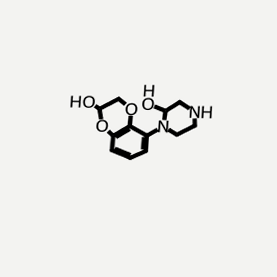 OC1COc2c(cccc2N2CCNCC2O)O1